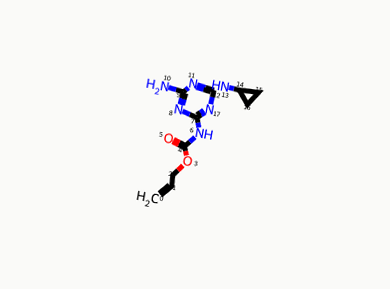 C=CCOC(=O)Nc1nc(N)nc(NC2CC2)n1